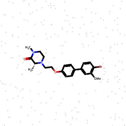 COc1cc(-c2ccc(OCCN3CCN(C)C(=O)[C@H]3C)cc2)ccc1Br